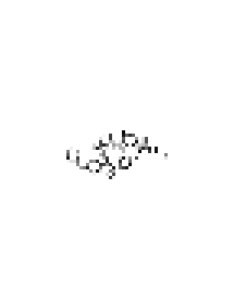 Cc1nc2cnccc2n1Cc1ccc(C(=O)c2cn(C(=O)N(C)C)c3cc(Cc4ccccc4)ccc23)cc1